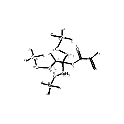 C=C(C)C(=O)OC([SiH2]O[Si](C)(C)C)([SiH2]O[Si](C)(C)C)C(C)[SiH2]O[Si](C)(C)C